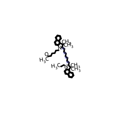 CCC[N+]1=C(/C=C/C=C/C=C/C=C2\N(CCCCCC(C)=O)c3ccc4ccccc4c3C2(C)C)C(C)(C)c2c1ccc1ccccc21